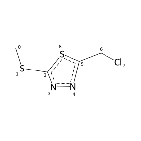 CSc1nnc(CCl)s1